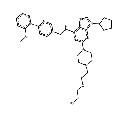 COc1ccccc1-c1ccc(CNc2nc(N3CCN(CCOCCO)CC3)nc3c2ncn3C2CCCC2)cn1